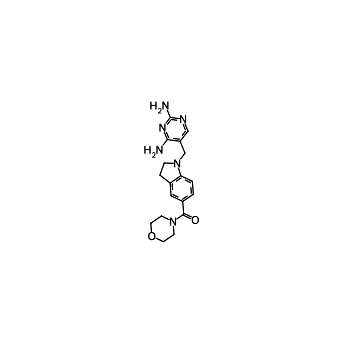 Nc1ncc(CN2CCc3cc(C(=O)N4CCOCC4)ccc32)c(N)n1